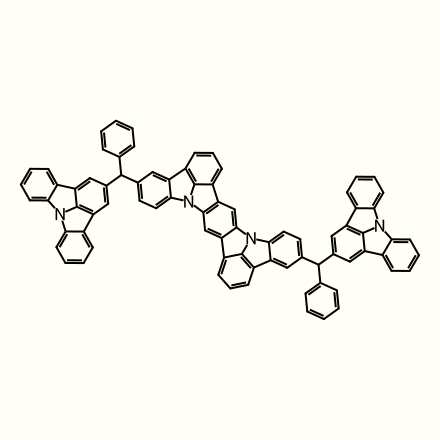 c1ccc(C(c2ccc3c(c2)c2cccc4c5cc6c(cc5n3c24)c2cccc3c4cc(C(c5ccccc5)c5cc7c8ccccc8n8c9ccccc9c(c5)c78)ccc4n6c32)c2cc3c4ccccc4n4c5ccccc5c(c2)c34)cc1